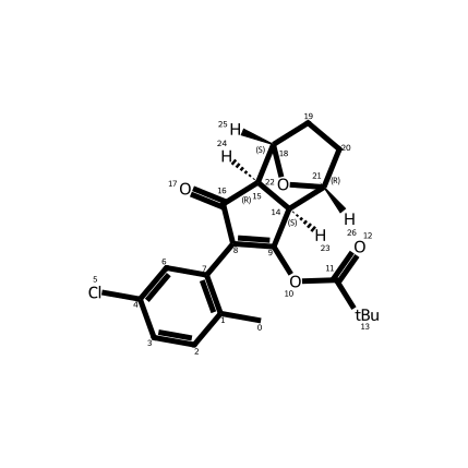 Cc1ccc(Cl)cc1C1=C(OC(=O)C(C)(C)C)[C@H]2[C@@H](C1=O)[C@@H]1CC[C@H]2O1